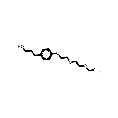 CCOCCOCCOc1ccc(CCCO)cc1